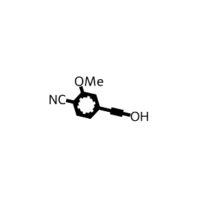 COc1cc(C#CO)ccc1C#N